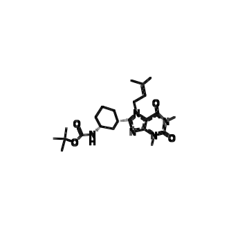 CC(C)=CCn1c([C@H]2CCC[C@@H](NC(=O)OC(C)(C)C)C2)nc2c1c(=O)n(C)c(=O)n2C